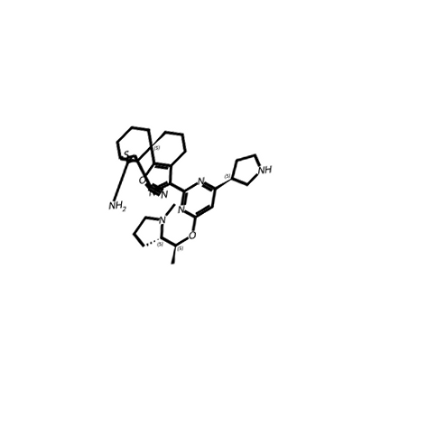 C[C@H](Oc1cc([C@H]2CCNC2)nc(-c2noc3c2CCC[C@@]32CCCc3sc(N)c(C#N)c32)n1)[C@@H]1CCCN1C